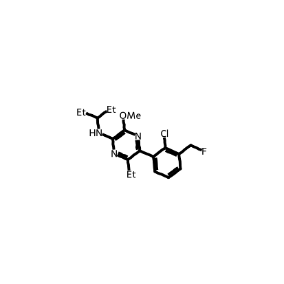 CCc1nc(NC(CC)CC)c(OC)nc1-c1cccc(CF)c1Cl